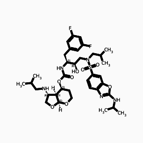 CC(C)CN[C@H]1CO[C@@H]2OCC[C@H](OC(=O)N[C@@H](Cc3cc(F)cc(F)c3)[C@H](O)CN(CC(C)C)S(=O)(=O)c3ccc4nc(NC(C)C)oc4c3)[C@@H]21